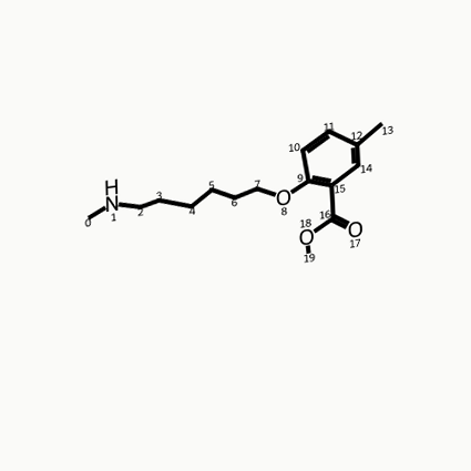 CNCCCCCCOc1ccc(C)cc1C(=O)OC